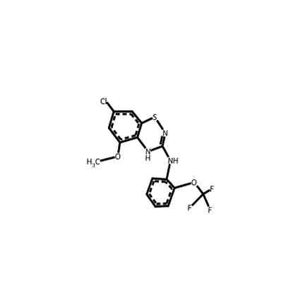 COc1cc(Cl)cc2c1NC(Nc1ccccc1OC(F)(F)F)=NS2